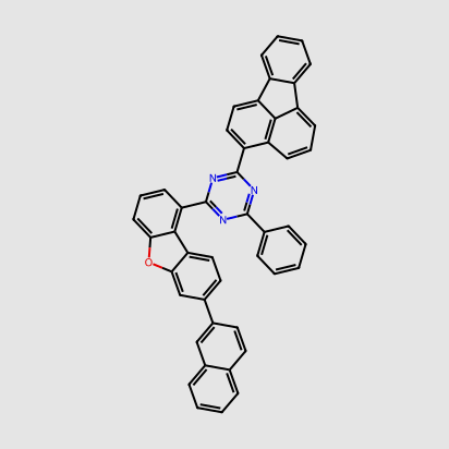 c1ccc(-c2nc(-c3ccc4c5c(cccc35)-c3ccccc3-4)nc(-c3cccc4oc5cc(-c6ccc7ccccc7c6)ccc5c34)n2)cc1